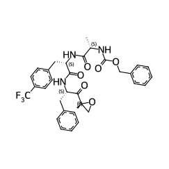 C[C@H](NC(=O)OCc1ccccc1)C(=O)N[C@@H](Cc1ccc(C(F)(F)F)cc1)C(=O)N[C@@H](Cc1ccccc1)C(=O)[C@@]1(C)CO1